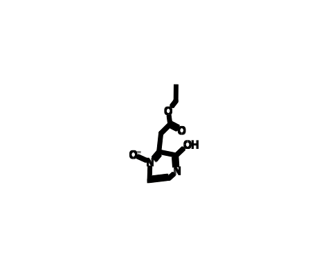 CCOC(=O)Cc1c(O)ncc[n+]1[O-]